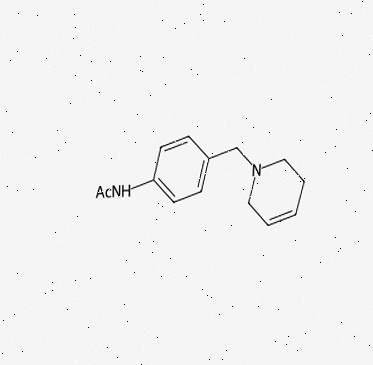 CC(=O)Nc1ccc(CN2CC=CCC2)cc1